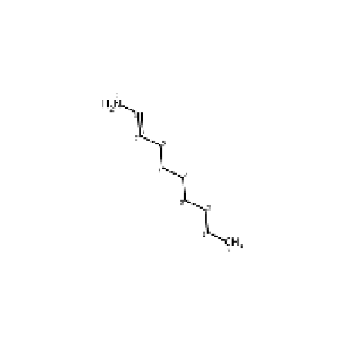 CCCCCCCC=CN